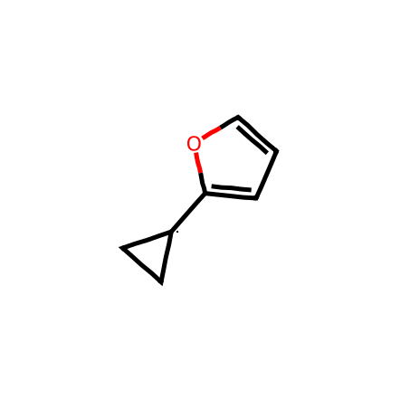 c1coc([C]2CC2)c1